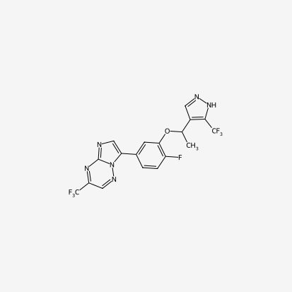 CC(Oc1cc(-c2cnc3nc(C(F)(F)F)cnn23)ccc1F)c1cn[nH]c1C(F)(F)F